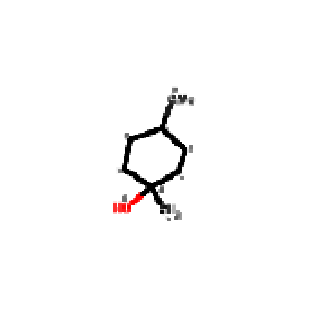 COC1CCC(C)(O)CC1